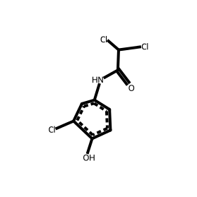 O=C(Nc1ccc(O)c(Cl)c1)C(Cl)Cl